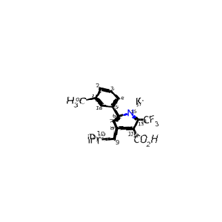 Cc1cccc(-c2cc(CC(C)C)c(C(=O)O)c(C(F)(F)F)n2)c1.[K]